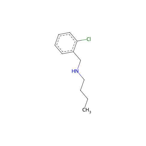 CCCCNCc1ccccc1Cl